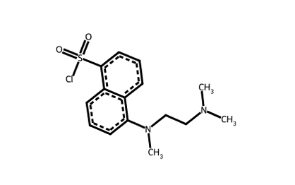 CN(C)CCN(C)c1cccc2c(S(=O)(=O)Cl)cccc12